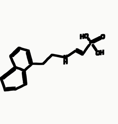 O=P(O)(O)C=CNCCc1cccc2ccccc12